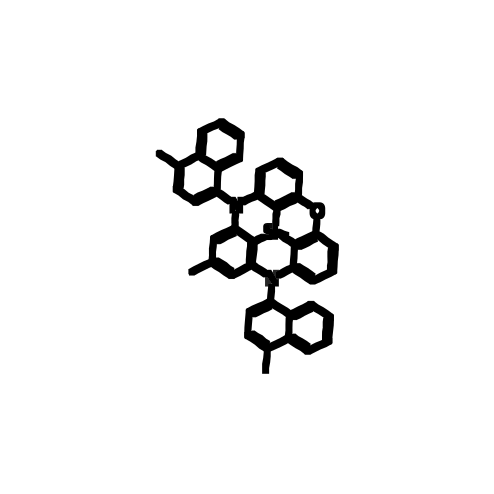 Cc1cc2c3c(c1)N(c1ccc(C)c4ccccc14)c1cccc4c1[Si]3(C)c1c(cccc1N2c1ccc(C)c2ccccc12)O4